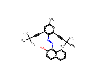 Cc1cc(C#CC(C)(C)C)c(/N=N/c2c(O)ccc3ccccc23)c(C#CC(C)(C)C)c1